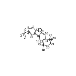 CC(C)(C)c1ccc2oc3cc4c(cc3c2c1)C(C)(C)CCC4(C)C